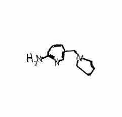 Nc1ccc(CN2CCCC2)cn1